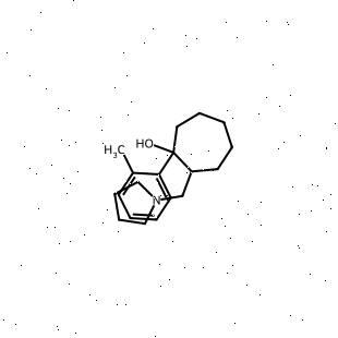 Cc1ccccc1C1(O)CCCCCC1CN1CCCC1